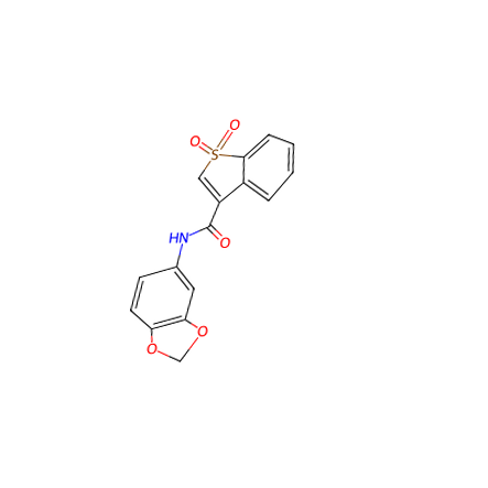 O=C(Nc1ccc2c(c1)OCO2)C1=CS(=O)(=O)c2ccccc21